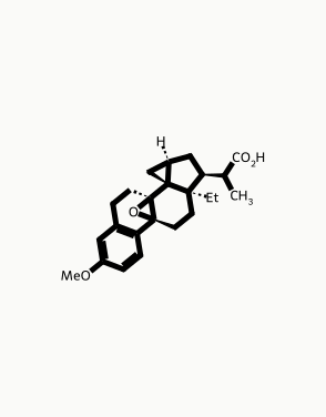 CC[C@]12CC[C@@]34O[C@@]3(CCc3cc(OC)ccc34)[C@@]13C[C@H]3C[C@H]2C(C)C(=O)O